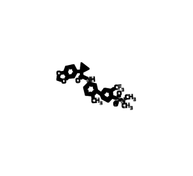 Cc1ccc(NC(=O)C2(c3ccc4c(c3)OCO4)CC2)cc1-c1ccc(S(=O)(=O)N(C)C)c(C(F)(F)F)c1